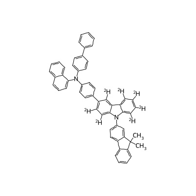 [2H]c1c([2H])c([2H])c2c(c1[2H])c1c([2H])c(-c3ccc(N(c4ccc(-c5ccccc5)cc4)c4cccc5ccccc45)cc3)c([2H])c([2H])c1n2-c1ccc2c(c1)C(C)(C)c1ccccc1-2